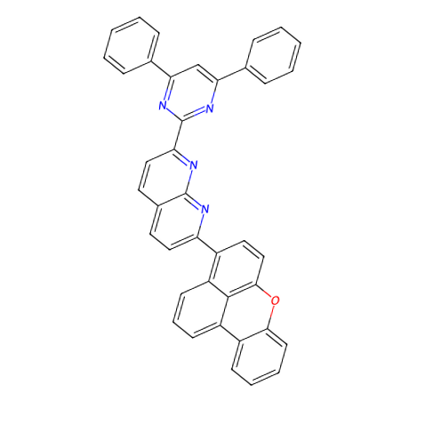 c1ccc(-c2cc(-c3ccccc3)nc(-c3ccc4ccc(-c5ccc6c7c(cccc57)-c5ccccc5O6)nc4n3)n2)cc1